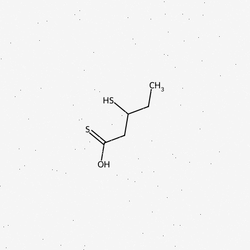 CCC(S)CC(O)=S